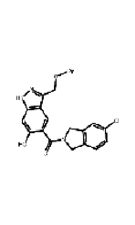 CC(C)OCc1n[nH]c2cc(O)c(C(=O)N3Cc4ccc(Cl)cc4C3)cc12